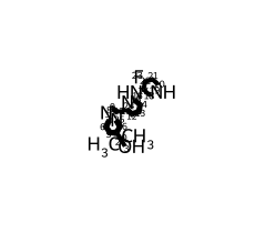 CC(C)(O)c1ccc2ncc(-c3cccc(NC4CNCCC4F)n3)n2c1